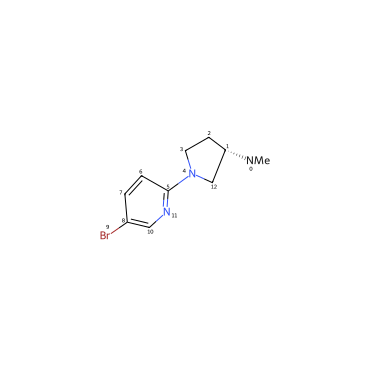 CN[C@H]1CCN(c2ccc(Br)cn2)C1